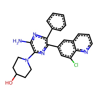 Nc1nc(-c2ccccc2)c(-c2cc(Cl)c3ncccc3c2)nc1N1CCC(O)CC1